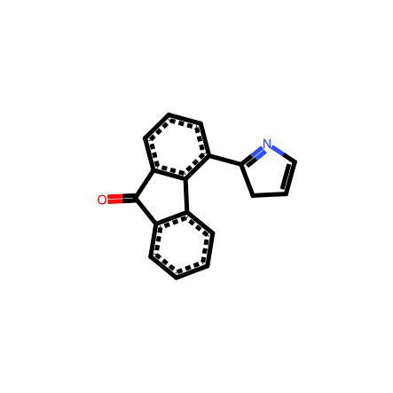 O=C1c2ccccc2-c2c1cccc2C1=NC=CC1